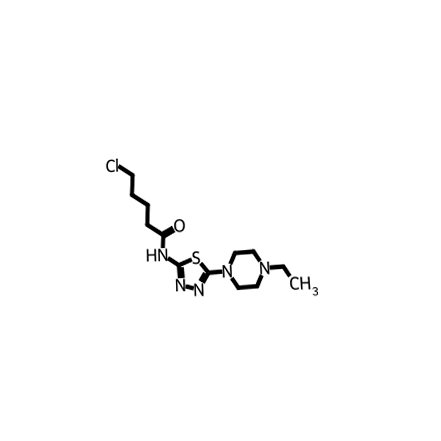 CCN1CCN(c2nnc(NC(=O)CCCCCl)s2)CC1